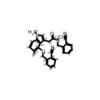 CN(Cc1ccccc1C#N)C(=O)Cc1cn(C)c2ccc(F)c(OCc3ccccc3C#N)c12